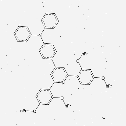 CCCOc1ccc(-c2cc(-c3ccc(N(c4ccccc4)c4ccccc4)cc3)cc(-c3ccc(OCCC)cc3OCCC)n2)c(OCCC)c1